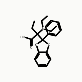 CCN(CC)C(CC)(C(=O)O)C1(c2ccccc2)Oc2ccccc2O1